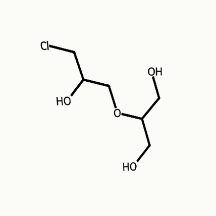 OCC(CO)OCC(O)CCl